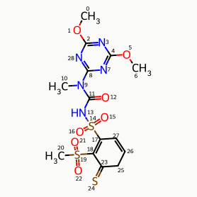 COc1nc(OC)nc(N(C)C(=O)NS(=O)(=O)C2=C(S(C)(=O)=O)C(=S)CC=C2)n1